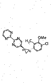 COc1c(Cl)ccc([C@@H]2C[C@H]2c2cnc(-c3ncccn3)nc2)c1C